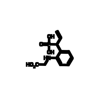 C=CC(c1ccccc1NCC(=O)O)P(=O)(O)O